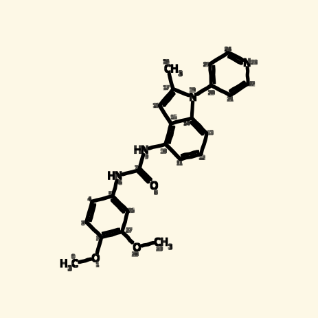 COc1ccc(NC(=O)Nc2cccc3c2cc(C)n3-c2ccncc2)cc1OC